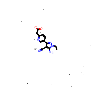 CCn1nc(-c2ccc(CC(=O)[O-])nc2)c(C#N)c1N.[Li+]